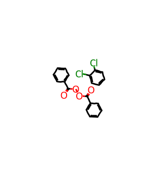 Clc1ccccc1Cl.O=C(OOC(=O)c1ccccc1)c1ccccc1